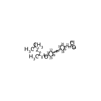 CC(C)CCCC(C)CCOc1ccc(C#Cc2ccc(C=CC(=O)Cl)cc2)cc1